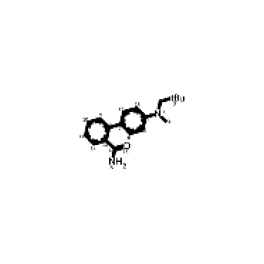 CN(CC(C)(C)C)c1ccc(-c2ccccc2C(N)=O)cc1